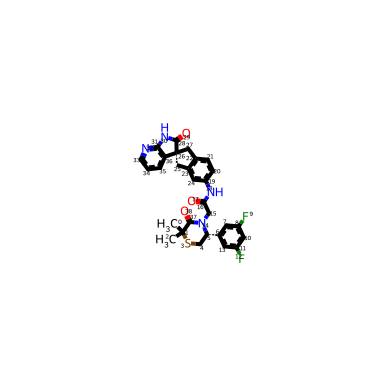 CC1(C)SC[C@@H](c2cc(F)cc(F)c2)N(CC(=O)Nc2ccc3c(c2)C[C@@]2(C3)C(=O)Nc3ncccc32)C1=O